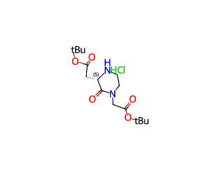 CC(C)(C)OC(=O)C[C@@H]1NCCN(CC(=O)OC(C)(C)C)C1=O.Cl